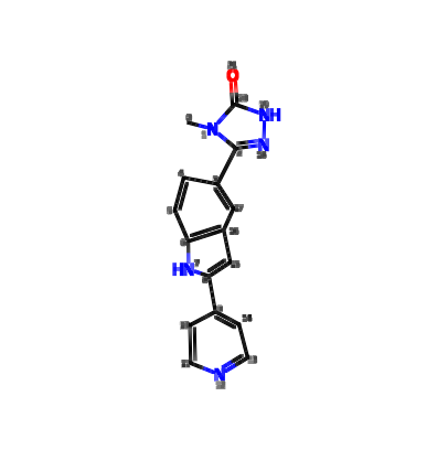 Cn1c(-c2ccc3[nH]c(-c4ccncc4)cc3c2)n[nH]c1=O